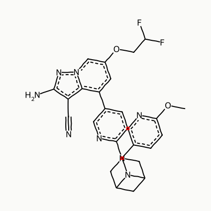 COc1ccc(CN2C3CC2CN(c2ccc(-c4cc(OCC(F)F)cn5nc(N)c(C#N)c45)cn2)C3)cn1